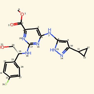 COC(=O)c1cc(Nc2cc(C3CC3)n[nH]2)nc(N[C@@H](CO)c2ccc(F)cc2)n1